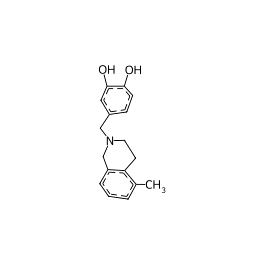 Cc1cccc2c1CCN(Cc1ccc(O)c(O)c1)C2